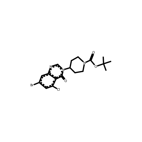 CC(C)(C)OC(=O)N1CCC(n2cnc3cc(Br)cc(Cl)c3c2=O)CC1